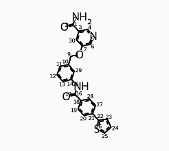 NC(=O)c1cncc(OCc2cccc(NC(=O)c3ccc(-c4cccs4)cc3)c2)c1